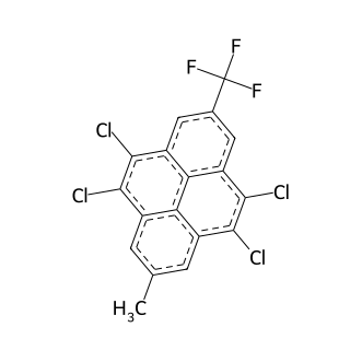 Cc1cc2c(Cl)c(Cl)c3cc(C(F)(F)F)cc4c(Cl)c(Cl)c(c1)c2c34